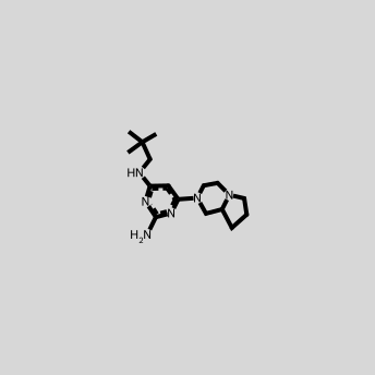 CC(C)(C)CNc1cc(N2CCN3CCCC3C2)nc(N)n1